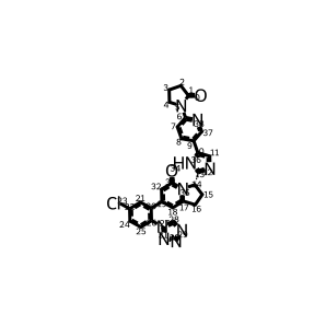 O=C1CCCN1c1ccc(-c2cnc([C@@H]3CCc4cc(-c5cc(Cl)ccc5-n5cnnn5)cc(=O)n43)[nH]2)cn1